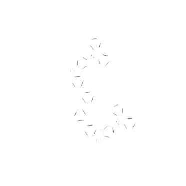 c1cc(-c2cccc(-c3ccc4oc5ccc(-n6c7ccccc7c7ccccc76)cc5c4c3)c2)cc(-c2ccc3oc4ccc(-n5c6ccccc6c6ccccc65)cc4c3c2)c1